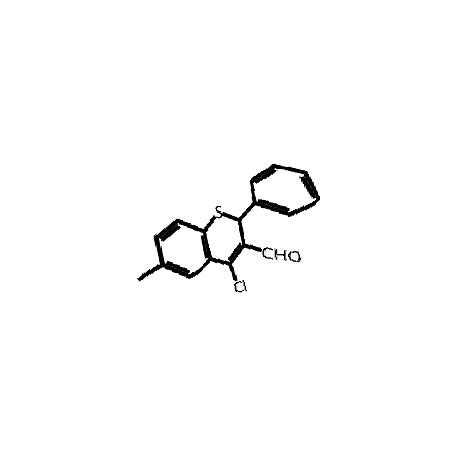 Cc1ccc2c(c1)C(Cl)=C(C=O)C(c1ccccc1)S2